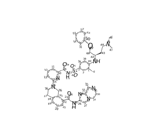 Cc1cc(S(=O)(=O)NC(=O)c2cccc(N3CCc4cccc(C(=O)Nc5cn6ccncc6n5)c4C3)n2)ccc1N[C@H](CCN(C)C)COc1ccccc1